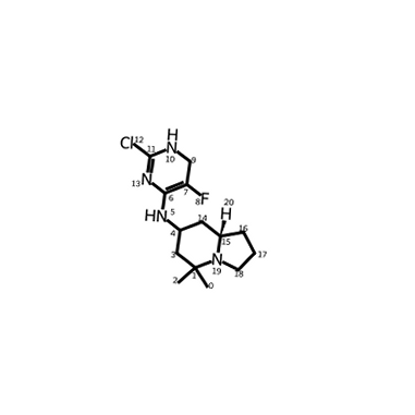 CC1(C)CC(NC2=C(F)CNC(Cl)=N2)C[C@@H]2CCCN21